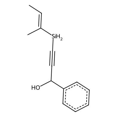 C/C=C(\C)[SiH2]C#CC(O)c1ccccc1